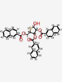 O=C(OC[C@H]1SC(O)[C@H](OC(=O)c2ccc3ccccc3c2)[C@H]1OC(=O)c1ccc2ccccc2c1)c1ccc2ccccc2c1